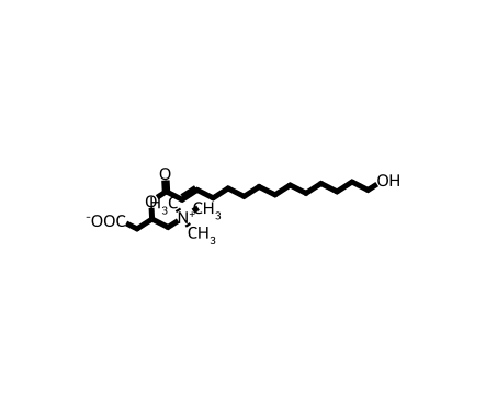 C[N+](C)(C)CC(CC(=O)[O-])OC(=O)C=CCCCCCCCCCCCO